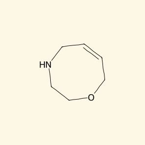 C1=C\COCCNC/1